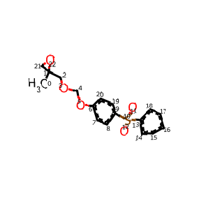 CC1(COCOc2ccc(S(=O)(=O)c3ccccc3)cc2)CO1